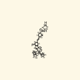 O=C(NC1CCNCC1)c1ccc(C#Cc2cc(F)c3c(c2)C(=O)N(C(C(=O)Nc2nccs2)c2ncn4c2CCC4)C3)cn1